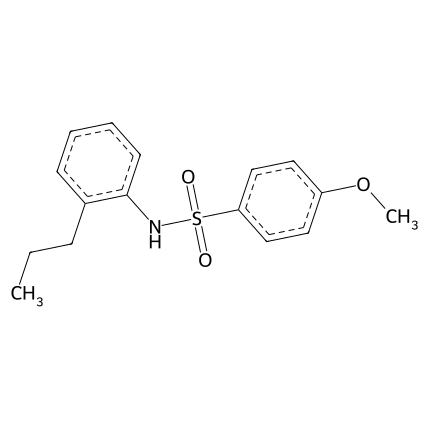 CCCc1ccccc1NS(=O)(=O)c1ccc(OC)cc1